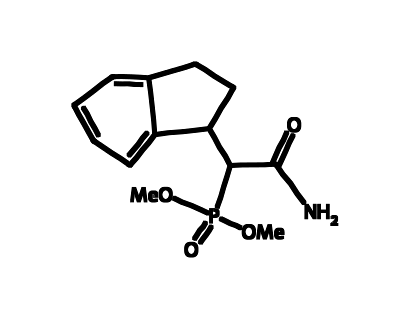 COP(=O)(OC)C(C(N)=O)C1CCc2ccccc21